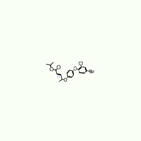 CC(C)OC(=O)/C=C/C(C)Oc1ccc(Oc2ccc(Br)cc2Cl)cc1